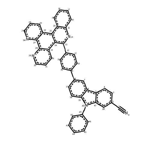 N#Cc1ccc2c3cc(-c4ccc(-c5nc6ccccc6c6c7cccnc7c7ncccc7c56)cc4)ccc3n(-c3ccccc3)c2c1